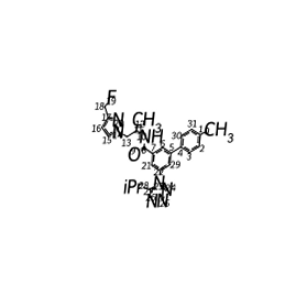 Cc1ccc(-c2cc(C(=O)NC(C)Cn3ccc(CF)n3)cc(-n3nnnc3C(C)C)c2)cc1